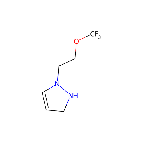 FC(F)(F)OCCN1C=CCN1